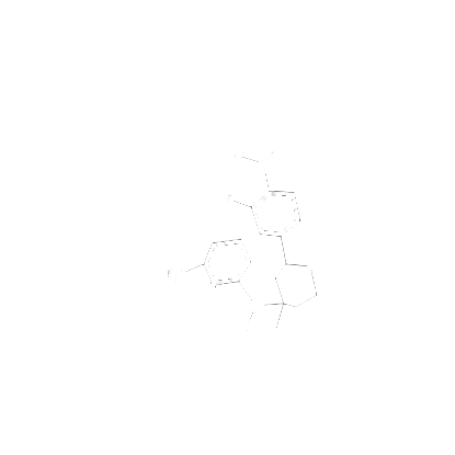 C[S+]([O-])c1ccc(C2CC(C)([S+]([O-])c3cccc(C(F)(F)F)n3)CCO2)cc1F